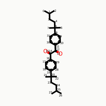 CC(C)CCC(C)(C)c1ccc(C(=O)C(=O)c2ccc(C(C)(C)CCC(C)C)cc2)cc1